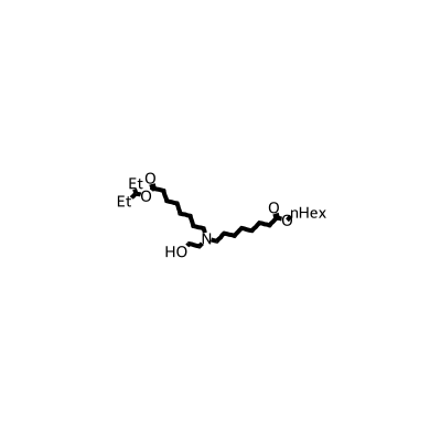 CCCCCCOC(=O)CCCCCCCN(CCO)CCCCCCCC(=O)OC(CC)CC